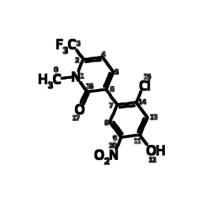 Cn1c(C(F)(F)F)ccc(-c2cc([N+](=O)[O-])c(O)cc2Cl)c1=O